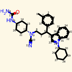 Cc1cccc(C(CCN(C#N)[C@H]2CC[C@H](NC(N)=O)CC2)c2cn(C3CCCCC3)c3ccccc23)c1